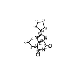 CC(C)Cn1c(Cl)nc(=O)c2c1N=C(C1CCCC1)[N]2